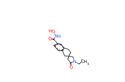 CCN1CC2(CCc3cc(C(=O)NO)ccc3C2)CC1=O